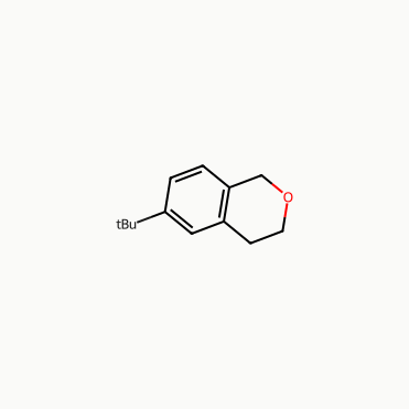 CC(C)(C)c1ccc2c(c1)CCOC2